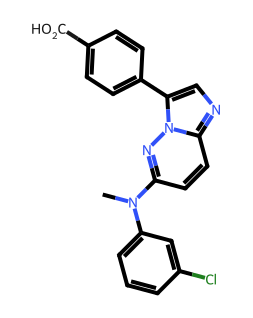 CN(c1cccc(Cl)c1)c1ccc2ncc(-c3ccc(C(=O)O)cc3)n2n1